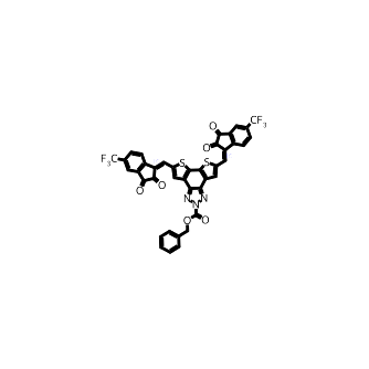 O=C1C(=O)c2cc(C(F)(F)F)ccc2/C1=C/c1cc2c3nn(C(=O)OCc4ccccc4)nc3c3cc(/C=C4\C(=O)C(=O)c5cc(C(F)(F)F)ccc54)sc3c2s1